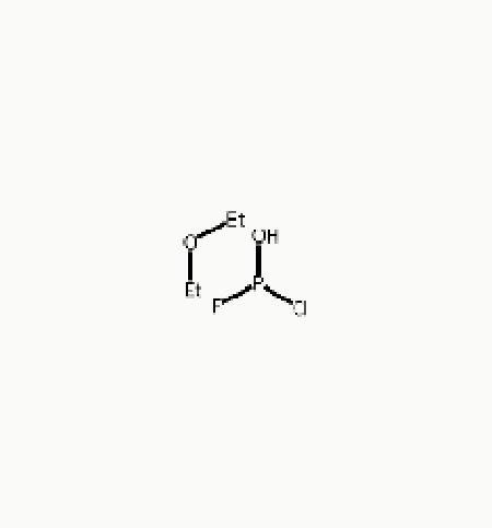 CCOCC.OP(F)Cl